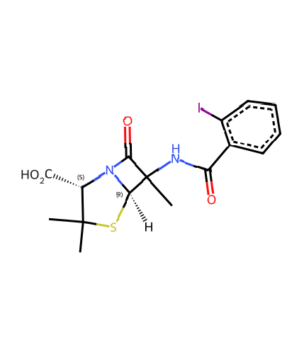 CC1(C)S[C@H]2N(C(=O)C2(C)NC(=O)c2ccccc2I)[C@H]1C(=O)O